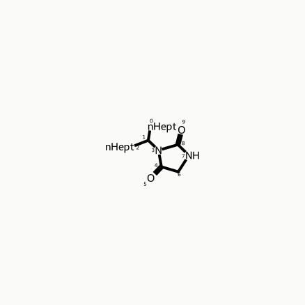 CCCCCCCC(CCCCCCC)N1C(=O)CNC1=O